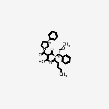 CCCCc1nc(O)c(C(=O)N2CC[C@@H](c3ccccc3)C2)c(=O)n1[C@H](COC)c1ccccc1